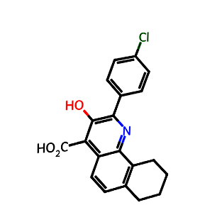 O=C(O)c1c(O)c(-c2ccc(Cl)cc2)nc2c3c(ccc12)CCCC3